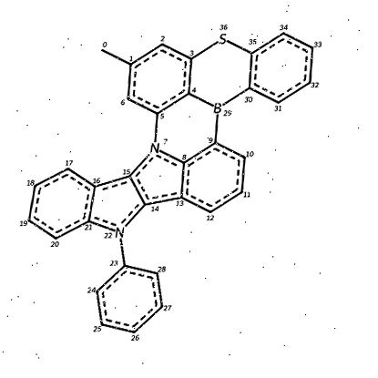 Cc1cc2c3c(c1)-n1c4c(cccc4c4c1c1ccccc1n4-c1ccccc1)B3c1ccccc1S2